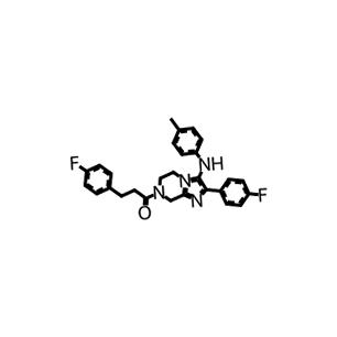 Cc1ccc(Nc2c(-c3ccc(F)cc3)nc3n2CCN(C(=O)CCc2ccc(F)cc2)C3)cc1